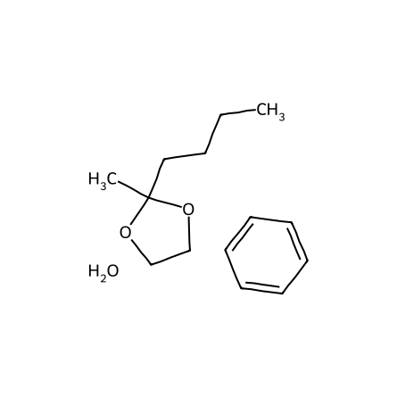 CCCCC1(C)OCCO1.O.c1ccccc1